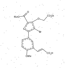 CCOC(=O)COc1c(C(=O)OC)sc(-c2ccc(OC)c(C=CC(=O)O)c2)c1Br